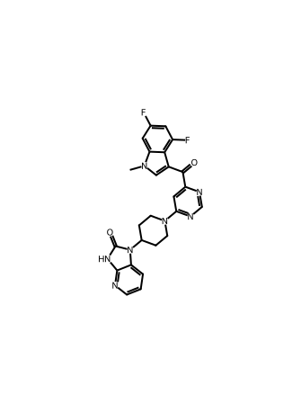 Cn1cc(C(=O)c2cc(N3CCC(n4c(=O)[nH]c5ncccc54)CC3)ncn2)c2c(F)cc(F)cc21